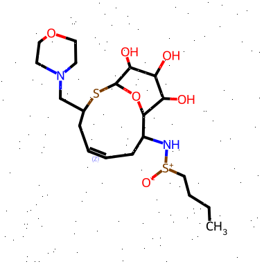 CCCC[S+]([O-])NC1C/C=C\CC(CN2CCOCC2)SC2OC1C(O)C(O)C2O